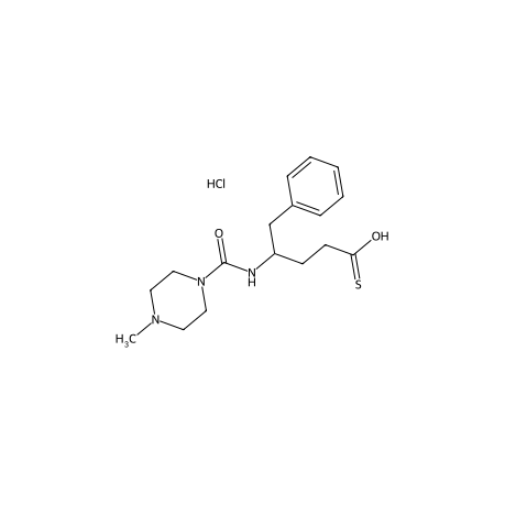 CN1CCN(C(=O)NC(CCC(O)=S)Cc2ccccc2)CC1.Cl